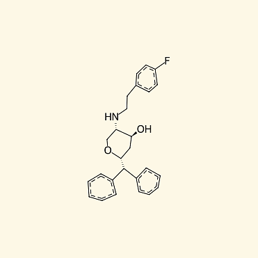 O[C@H]1C[C@H](C(c2ccccc2)c2ccccc2)OC[C@@H]1NCCc1ccc(F)cc1